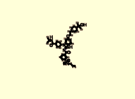 C=CCNS(=O)(=O)c1cccc(C(=O)/N=c2\[nH]c3cnc(OCCN4CCC(C(C)(C)O)CC4)cc3n2[C@H]2CC[C@H](C(=O)NC(C)C)CC2)c1